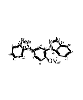 [CH2]Oc1ccc(-n2nnc3ccccc32)cc1-n1nnc2ccccc21